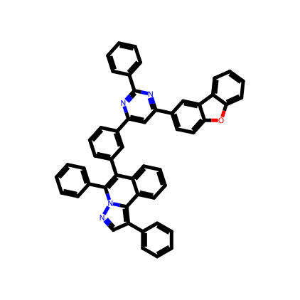 c1ccc(-c2nc(-c3cccc(-c4c(-c5ccccc5)n5ncc(-c6ccccc6)c5c5ccccc45)c3)cc(-c3ccc4oc5ccccc5c4c3)n2)cc1